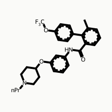 CCCN1CCC(Oc2cccc(NC(=O)c3cccc(C)c3-c3ccc(OC(F)(F)F)cc3)c2)CC1